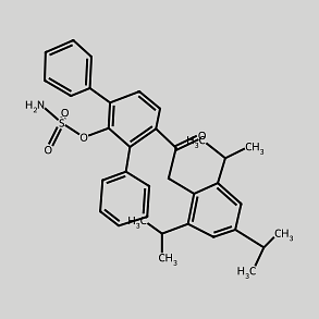 CC(C)c1cc(C(C)C)c(CC(=O)c2ccc(-c3ccccc3)c(OS(N)(=O)=O)c2-c2ccccc2)c(C(C)C)c1